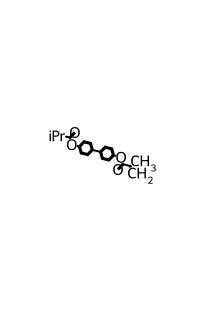 C=C(C)C(=O)Oc1ccc(-c2ccc(OC(=O)C(C)C)cc2)cc1